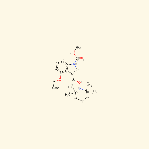 COCOc1cccc2c1C(CON1C(C)(C)CCCC1(C)C)CN2C(=O)OC(C)(C)C